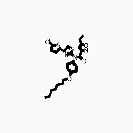 CCCCCCCOc1ccc(N(C(=O)c2cc(CC)on2)c2nc(-c3ccc(Cl)s3)cs2)cc1